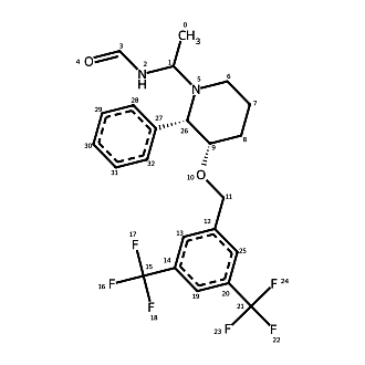 CC(NC=O)N1CCC[C@H](OCc2cc(C(F)(F)F)cc(C(F)(F)F)c2)[C@@H]1c1ccccc1